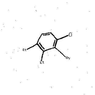 CCc1ccc(Cl)c(C(C)C)c1CC